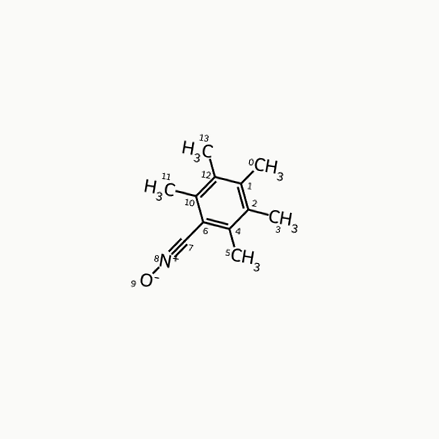 Cc1c(C)c(C)c(C#[N+][O-])c(C)c1C